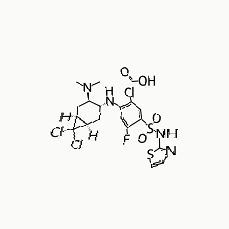 CN(C)[C@@H]1C[C@H]2[C@@H](C[C@H]1Nc1cc(F)c(S(=O)(=O)Nc3nccs3)cc1Cl)C2(Cl)Cl.O=CO